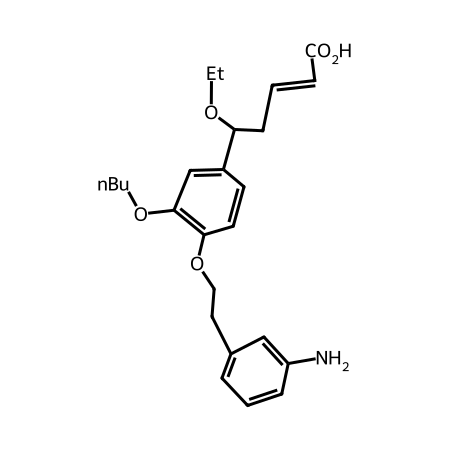 CCCCOc1cc(C(CC=CC(=O)O)OCC)ccc1OCCc1cccc(N)c1